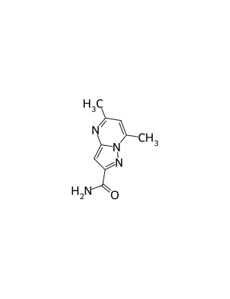 Cc1cc(C)n2nc(C(N)=O)cc2n1